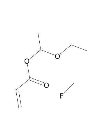 C=CC(=O)OC(C)OCC.CF